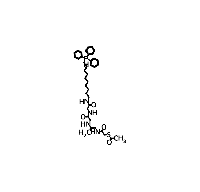 C=C(CNC(=O)CSC(C)=O)NCC(=O)NCC(=O)NCCCCCCCCCC[PH](c1ccccc1)(c1ccccc1)c1ccccc1